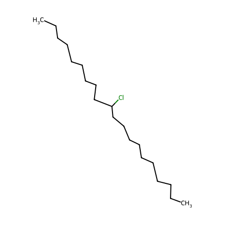 CCCCCCCCCCC(Cl)CCCCCCCCC